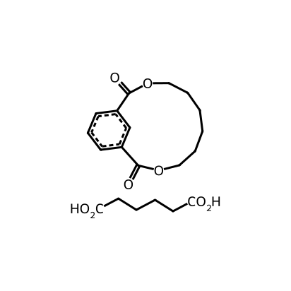 O=C(O)CCCCC(=O)O.O=C1OCCCCCCOC(=O)c2cccc1c2